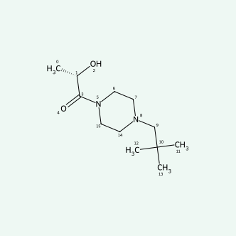 C[C@H](O)C(=O)N1CCN(CC(C)(C)C)CC1